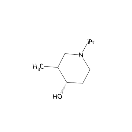 CC1CN(C(C)C)CC[C@@H]1O